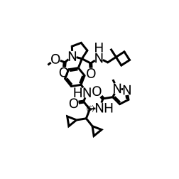 COC(=O)N1CCCC1(C(=O)NCC1(C)CCC1)c1cccc(NC(=O)[C@@H](NC(=O)c2ccnn2C)C(C2CC2)C2CC2)c1